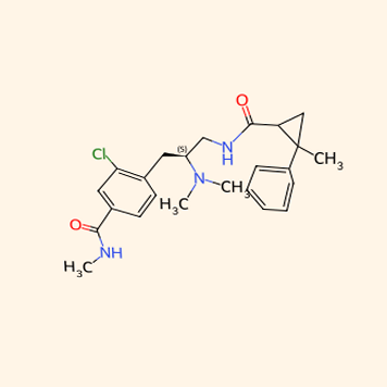 CNC(=O)c1ccc(C[C@@H](CNC(=O)C2CC2(C)c2ccccc2)N(C)C)c(Cl)c1